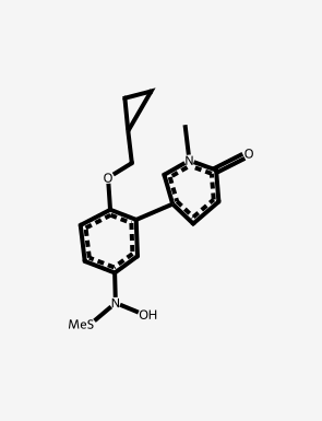 CSN(O)c1ccc(OCC2CC2)c(-c2ccc(=O)n(C)c2)c1